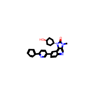 Cn1c(=O)n([C@H]2CC[C@H](O)CC2)c2c3cc(-c4ccc(-c5ccccc5)nc4)ccc3ncc21